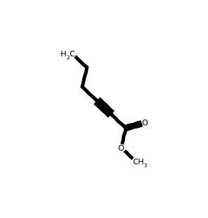 [CH2]CCC#CC(=O)OC